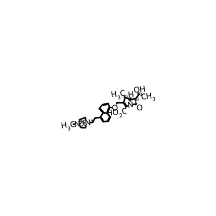 C[C@@H](O)[C@H]1C(=O)N2C(C(=O)O)=C(COc3cccc4c(CC[N+]56CC[N+](C)(CC5)CC6)cccc34)[C@H](C)[C@H]12